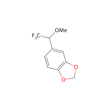 COC(c1ccc2c(c1)OCO2)C(F)(F)F